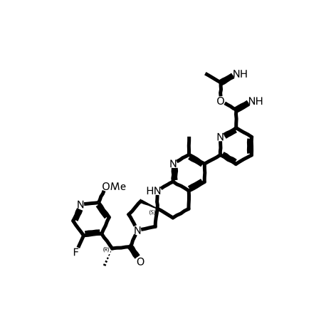 COc1cc([C@@H](C)C(=O)N2CC[C@@]3(CCc4cc(-c5cccc(C(=N)OC(C)=N)n5)c(C)nc4N3)C2)c(F)cn1